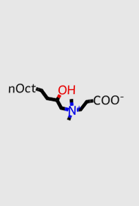 CCCCCCCCCCC(O)C[N+](C)(C)CCC(=O)[O-]